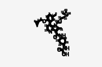 Cc1ccc(OCC2CC2)c(-c2ccnc3c(C(=O)NC4CCC(NC(=O)O)CC4)c(C)n(COCC[Si](C)(C)C)c23)c1